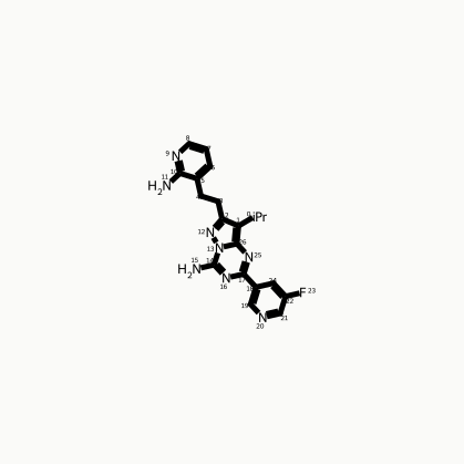 CC(C)c1c(CCc2cccnc2N)nn2c(N)nc(-c3cncc(F)c3)nc12